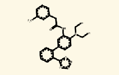 CC(C)CN(CC(C)C)c1ccc(-c2ccccc2-c2nnn[nH]2)cc1NC(=O)Cc1cccc(C(F)(F)F)c1